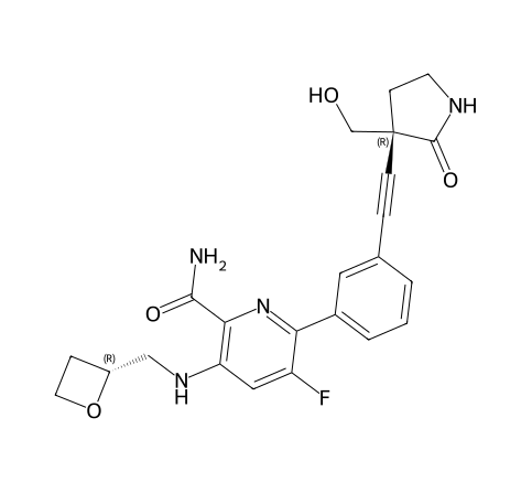 NC(=O)c1nc(-c2cccc(C#C[C@@]3(CO)CCNC3=O)c2)c(F)cc1NC[C@H]1CCO1